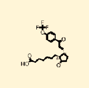 O=C(O)CCCCCC[C@@H]1C(=O)CC[C@H]1C=CC(=O)c1ccc(OC(F)(F)F)cc1